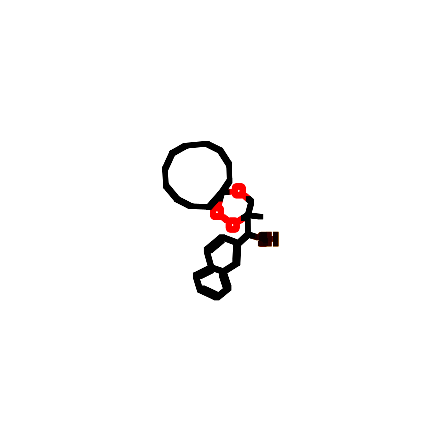 CC1(C(S)c2ccc3ccccc3c2)COC2(CCCCCCCCCCC2)OO1